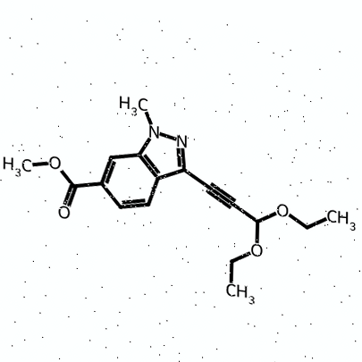 CCOC(C#Cc1nn(C)c2cc(C(=O)OC)ccc12)OCC